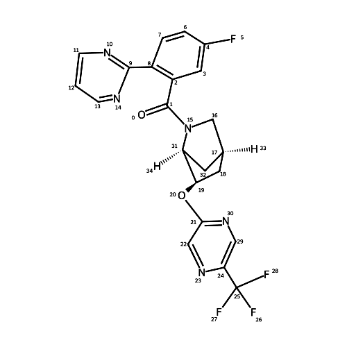 O=C(c1cc(F)ccc1-c1ncccn1)N1C[C@H]2C[C@@H](Oc3cnc(C(F)(F)F)cn3)[C@@H]1C2